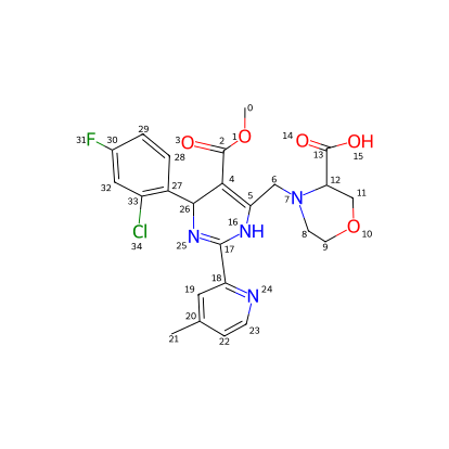 COC(=O)C1=C(CN2CCOCC2C(=O)O)NC(c2cc(C)ccn2)=NC1c1ccc(F)cc1Cl